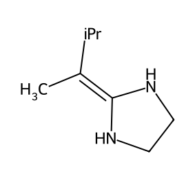 CC(=C1NCCN1)C(C)C